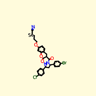 N#C[Se]CCCOc1ccc2c(c1)OC(=O)C(C(=O)N1N=C(c3ccc(Cl)cc3)CC1c1ccc(Br)cc1)C2